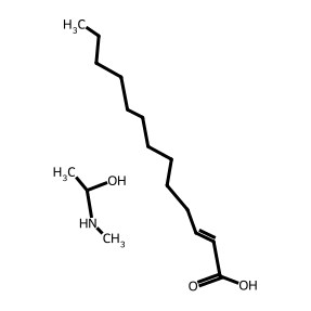 CCCCCCCCCCC=CC(=O)O.CNC(C)O